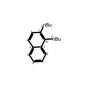 CCCCc1ccc2ccccc2c1CCCC